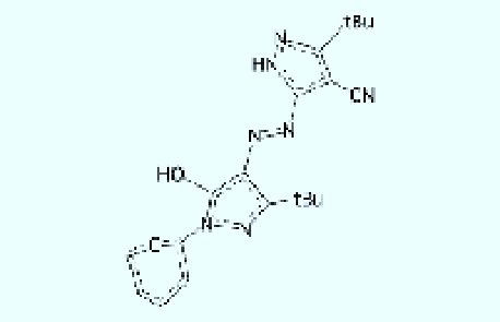 CC(C)(C)c1n[nH]c(/N=N/c2c(C(C)(C)C)nn(-c3ccccc3)c2O)c1C#N